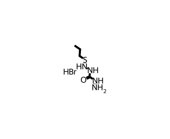 Br.CCCSNNC(=O)NN